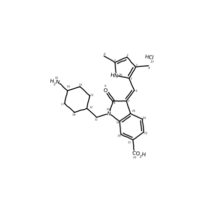 Cc1cc(C)c(/C=C2\C(=O)N(CC3CCC(N)CC3)c3cc(C(=O)O)ccc32)[nH]1.Cl